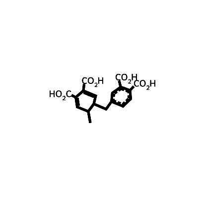 CC1C=C(C(=O)O)C(C(=O)O)=CC1Cc1ccc(C(=O)O)c(C(=O)O)c1